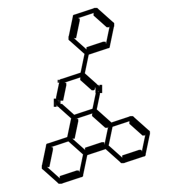 [c]1nc2c3ccccc3c3ccccc3c2nc1-c1ccccc1